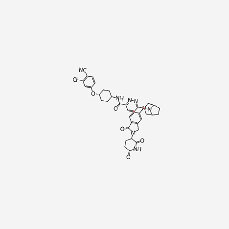 N#Cc1ccc(O[C@H]2CC[C@H](NC(=O)c3ccc(N4CC5CCC(C4)N5Cc4ccc5c(c4)CN(C4CCC(=O)NC4=O)C5=O)nn3)CC2)cc1Cl